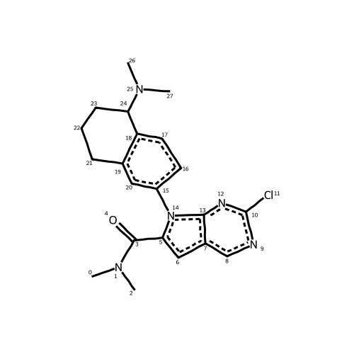 CN(C)C(=O)c1cc2cnc(Cl)nc2n1-c1ccc2c(c1)CCCC2N(C)C